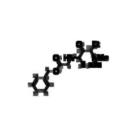 CCCCSC(NCC(=O)OCc1ccccc1)C(=O)C(CC)NC